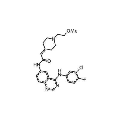 COCCN1CCC(=CC(=O)Nc2ccc3ncnc(Nc4ccc(F)c(Cl)c4)c3c2)CC1